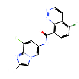 Cc1cn2cc(NC(=O)c3ccc(Cl)c4ccnnc34)cc(F)c2n1